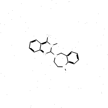 CN1C(N)=c2ccccc2=NC1N1CC[S+]([O-])c2ccccc2C1